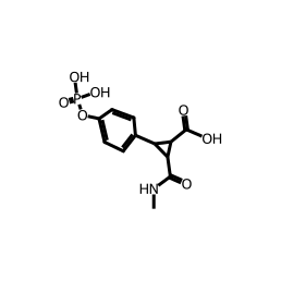 CNC(=O)C1C(C(=O)O)C1c1ccc(OP(=O)(O)O)cc1